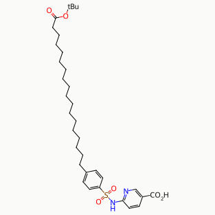 CC(C)(C)OC(=O)CCCCCCCCCCCCCCCCCc1ccc(S(=O)(=O)Nc2ccc(C(=O)O)cn2)cc1